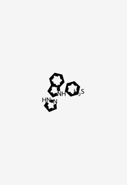 S.c1ccc2[nH]ccc2c1.c1ccccc1.c1cn[nH]c1